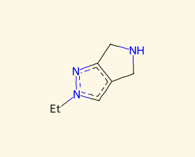 CCn1cc2c(n1)CNC2